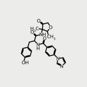 CC1OCC(=O)C1(C)NC(=O)C(Cc1ccc(O)cc1)NC(=O)c1ccc(-n2ccnc2)cc1